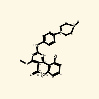 COc1nc(Nc2ccc(N3CCN(C)CC3)cc2)nc(-c2c(Cl)cccc2Cl)c1C(N)=O